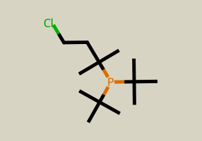 CC(C)(C)P(C(C)(C)C)C(C)(C)CCCl